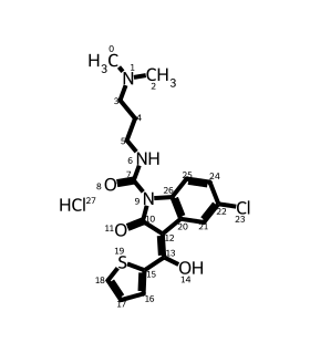 CN(C)CCCNC(=O)N1C(=O)/C(=C(/O)c2cccs2)c2cc(Cl)ccc21.Cl